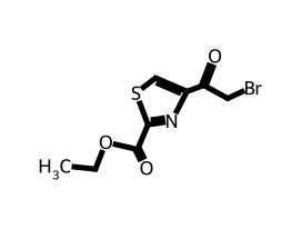 CCOC(=O)c1nc(C(=O)CBr)cs1